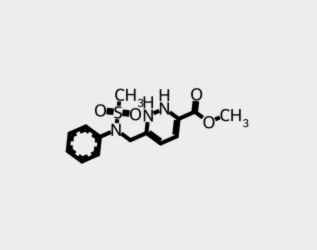 COC(=O)C1=CC=C(CN(c2ccccc2)S(C)(=O)=O)NN1